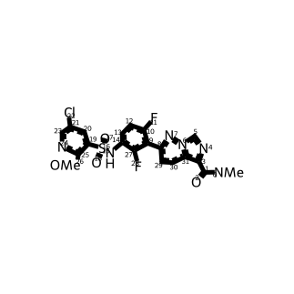 CNC(=O)c1ncn2nc(-c3c(F)ccc(NS(=O)(=O)c4cc(Cl)cnc4OC)c3F)ccc12